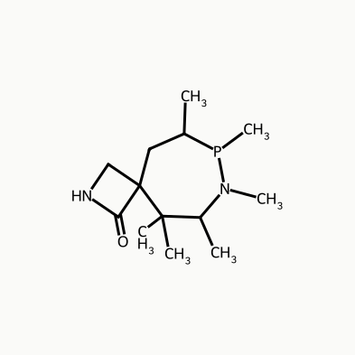 CC1CC2(CNC2=O)C(C)(C)C(C)N(C)P1C